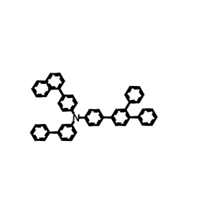 c1ccc(-c2cccc(N(c3ccc(-c4ccc(-c5ccccc5)c(-c5ccccc5)c4)cc3)c3ccc(-c4cccc5ccccc45)cc3)c2)cc1